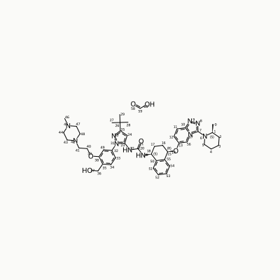 C[C@H]1CCCCN1c1nnc2ccc(O[C@@H]3CC[C@H](NC(=O)Nc4cc(C(C)(C)C)nn4-c4ccc(CO)c(OCCN5CCN(C)CC5)c4)c4ccccc43)cn12.O=CO